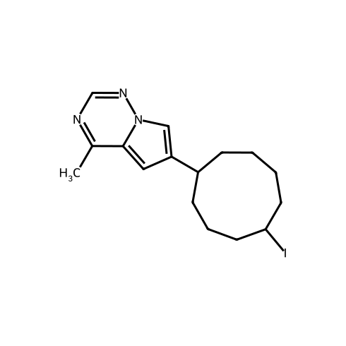 Cc1ncnn2cc(C3CCCCC(I)CCC3)cc12